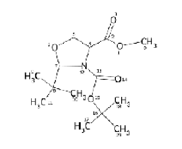 COC(=O)C1COC(C(C)(C)C)N1C(=O)OC(C)(C)C